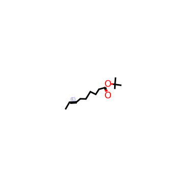 C/C=C/CCCCCC(=O)OC(C)(C)C